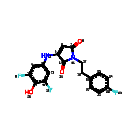 O=C1C=C(Nc2cc(F)c(O)c(F)c2)C(=O)N1CCc1ccc(F)cc1